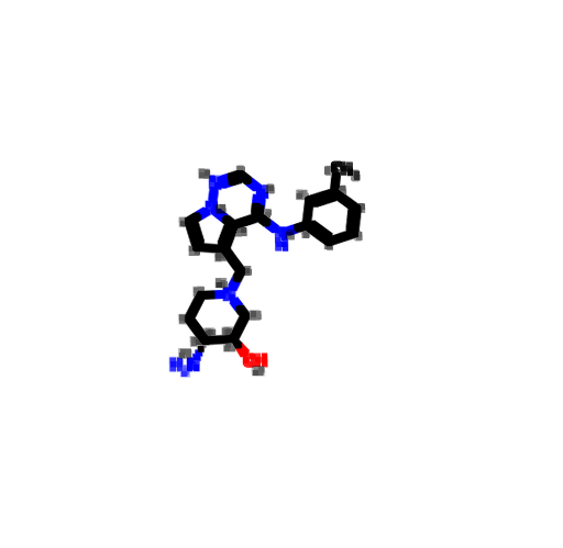 Cc1cccc(Nc2ncnn3ccc(CN4CC[C@@H](N)[C@H](O)C4)c23)c1